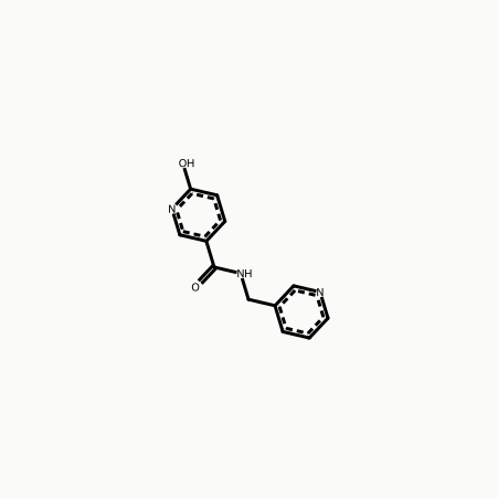 O=C(NCc1cccnc1)c1ccc(O)nc1